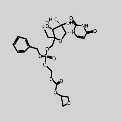 C[C@@]1(O)[C@H](O)[C@@](CF)(COP(=O)(OCOC(=O)OC2COC2)OCc2ccccc2)O[C@H]1n1ccc(=O)[nH]c1=O